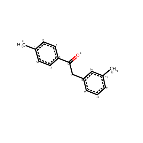 Cc1ccc(C(=O)Cc2cccc(C)c2)cc1